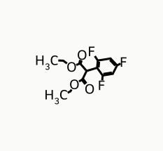 CCOC(=O)C(C(=O)OCC)c1c(F)cc(F)cc1F